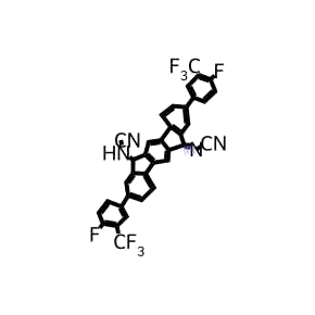 N#C/N=C1\c2cc(-c3ccc(F)c(C(F)(F)F)c3)ccc2-c2cc3c(cc21)-c1ccc(-c2ccc(F)c(C(F)(F)F)c2)cc1C3NC#N